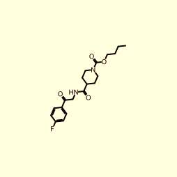 CCCCOC(=O)N1CCC(C(=O)NCC(=O)c2ccc(F)cc2)CC1